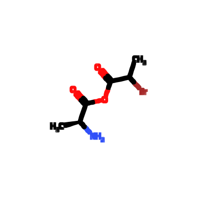 CC(Br)C(=O)OC(=O)[C@H](C)N